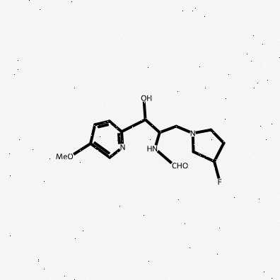 COc1ccc(C(O)C(CN2CCC(F)C2)NC=O)nc1